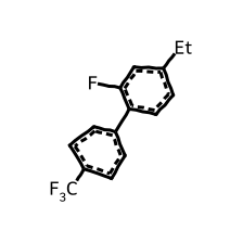 CCc1ccc(-c2ccc(C(F)(F)F)cc2)c(F)c1